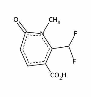 Cn1c(C(F)F)c(C(=O)O)ccc1=O